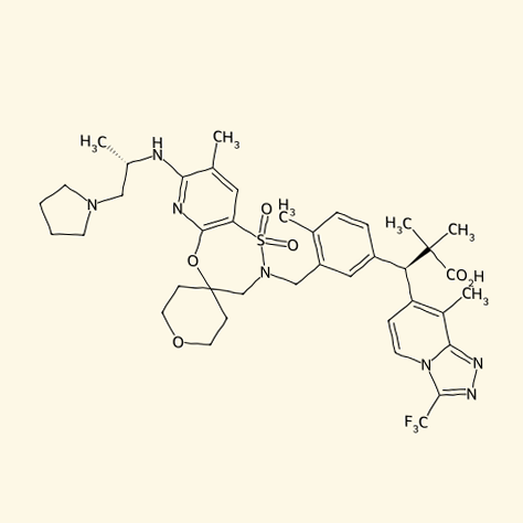 Cc1ccc([C@H](c2ccn3c(C(F)(F)F)nnc3c2C)C(C)(C)C(=O)O)cc1CN1CC2(CCOCC2)Oc2nc(N[C@@H](C)CN3CCCC3)c(C)cc2S1(=O)=O